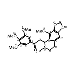 COc1cc(C(=O)CC2c3c(cc4c(c3OC)OCO4)CCN2C)cc(OC)c1OC